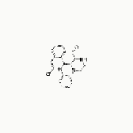 CN1CCNC(C=O)C1C1c2ccccc2C=C(Cl)N1c1ccccc1